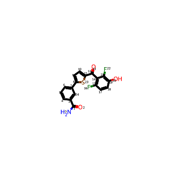 NC(=O)c1cccc(-c2ccc(C(=O)c3c(F)ccc(O)c3F)s2)c1